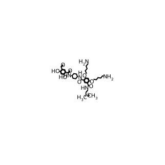 CN(C)CCNC(=O)c1cc(C(=O)N[C@H]2CC[C@H](NC(=O)c3cc(C=O)c(O)cc3O)CC2)c(OCCCCCN)cc1OCCCCCN